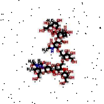 CC(=O)NC1C(O)[C@H](O[C@@H]2OC3CC(O)(O)[C@@H]3[C@H](O[C@]3(OC=O)C[C@@H](O)[C@@H](C)C([C@H](O)[C@H](O)CO)O3)C2O)[C@H](CO)O[C@H]1OCCC1[C@@H](OCC2O[C@@H](O[C@@H]3C(CO)O[C@@H](O[C@@H]4C(CO)O[C@@H](C)C(NC(C)=O)[C@H]4O)C(NC(C)=O)[C@H]3O)C(O)[C@@H](O[C@H]3OC(CO)[C@@H](O)C(O)C3O)[C@@H]2O)OC(CO)[C@@H](O)[C@@H]1O